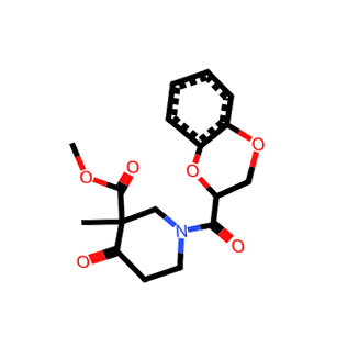 COC(=O)C1(C)CN(C(=O)C2COc3ccccc3O2)CCC1=O